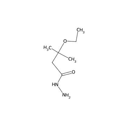 CCOC(C)(C)CC(=O)NN